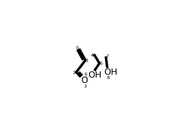 C=CC=O.CCO.CO